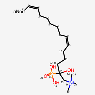 CCCCCCCCC/C=C\CCCCC/C=C\CCCC(O)(C[N+](C)(C)C)P(=O)(O)O